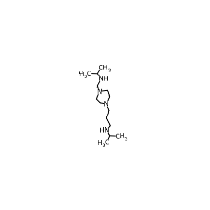 CC(C)NCCCN1CCN(CNC(C)C)CC1